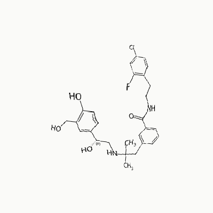 CC(C)(Cc1cccc(C(=O)NCCc2ccc(Cl)cc2F)c1)NC[C@H](O)c1ccc(O)c(CO)c1